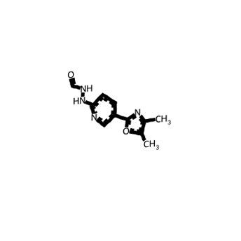 Cc1nc(-c2ccc(NNC=O)nc2)oc1C